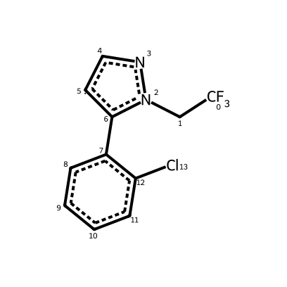 FC(F)(F)Cn1nc[c]c1-c1ccccc1Cl